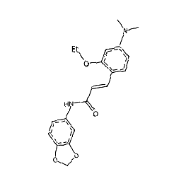 CCOc1cc(N(C)C)ccc1C=CC(=O)Nc1ccc2c(c1)OCO2